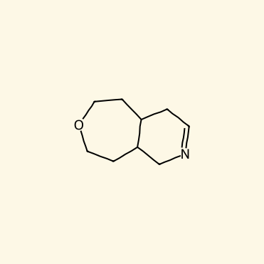 C1=NCC2CCOCCC2C1